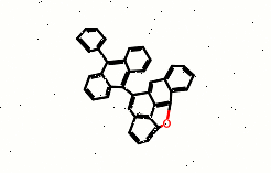 c1ccc(-c2c3ccccc3c(-c3cc4cccc5oc6c7ccccc7cc3c6c45)c3ccccc23)cc1